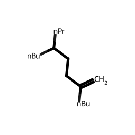 C=C(CCCC)CCC(CCC)CCCC